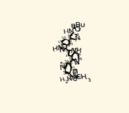 CCCCC(=O)Nc1cncc(-c2ccc3[nH]nc(-c4cc5c(-c6cc(F)cc(C(N)S(C)(=O)=O)c6)nccc5[nH]4)c3c2)c1